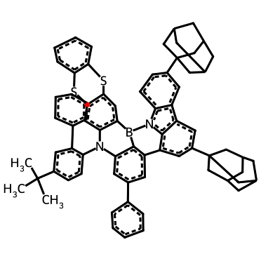 CC(C)(C)c1ccc(N2c3cc4c(cc3B3c5c(cc(-c6ccccc6)cc52)-c2cc(C56CC7CC(CC(C7)C5)C6)cc5c6cc(C78CC9CC(CC(C9)C7)C8)ccc6n3c25)Sc2ccccc2S4)c(-c2ccccc2)c1